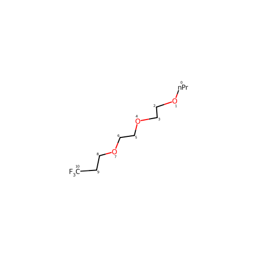 CCCOCCOCCOCCC(F)(F)F